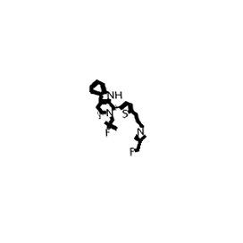 C[C@@H]1Cc2c([nH]c3ccccc23)[C@@H](c2ccc(CCCN3CC(CF)C3)s2)N1CC(C)(C)F